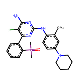 COc1cc(N2CCCCC2)ccc1Nc1nc(N)c(Cl)c(-c2ccccc2P(C)(C)=O)n1